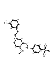 CO[C@H]1CCN(CCc2cccc(Cl)c2)C[C@H]1COc1ccc(S(C)(=O)=O)cc1